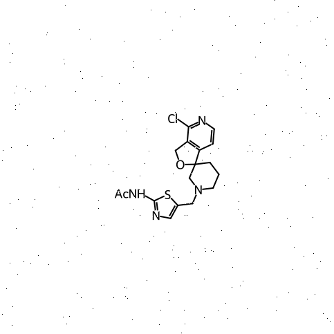 CC(=O)Nc1ncc(CN2CCCC3(C2)OCc2c3ccnc2Cl)s1